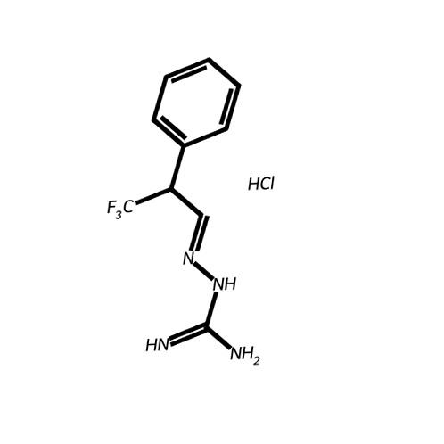 Cl.N=C(N)N/N=C/C(c1ccccc1)C(F)(F)F